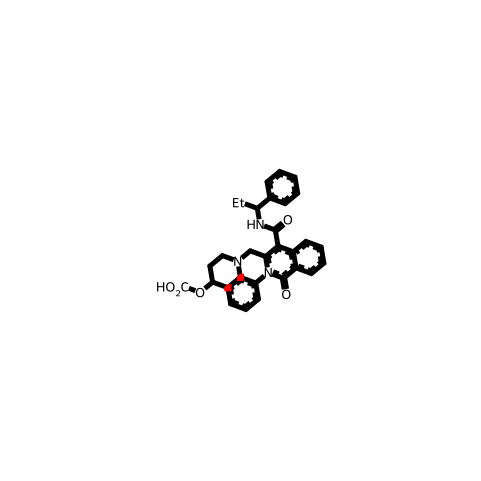 CCC(NC(=O)c1c(CN2CCC(OC(=O)O)CC2)n(-c2ccccc2)c(=O)c2ccccc12)c1ccccc1